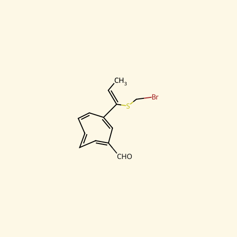 C/C=C(\SCBr)C1=C/C(C=O)=C/C=C/C=C1